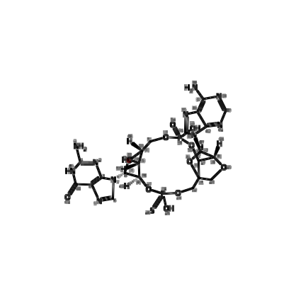 Nc1nc2c(ncn2[C@@H]2S[C@@H]3COP(=O)(O)O[C@H]4[C@H]5OCC4(COP(O)(=S)O[C@@H]2[C@@H]3O)O[C@H]5n2cnc3c(N)ncnc32)c(=O)[nH]1